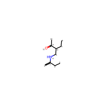 C=C(CC)NCC(CC)C(C)=O